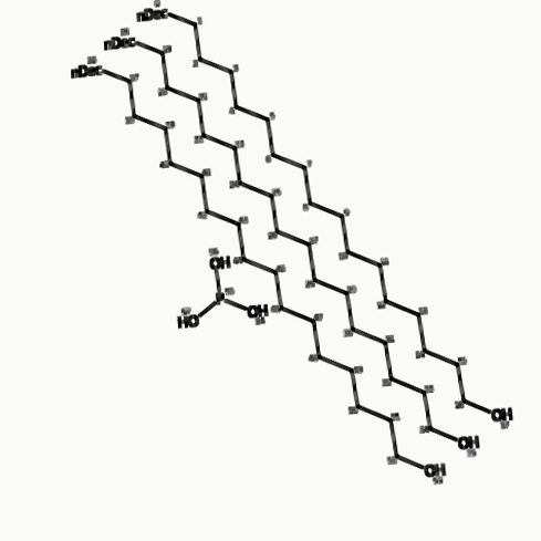 CCCCCCCCCCCCCCCCCCCCCCCCCCO.CCCCCCCCCCCCCCCCCCCCCCCCCCO.CCCCCCCCCCCCCCCCCCCCCCCCCCO.OP(O)O